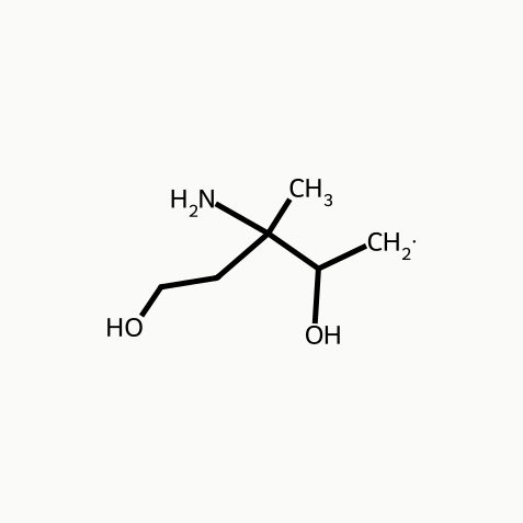 [CH2]C(O)C(C)(N)CCO